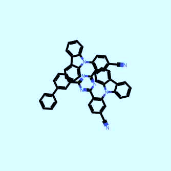 N#Cc1ccc(-n2c3ccccc3c3ccccc32)c(-c2nc(-c3cccc(-c4ccccc4)c3)nc(-c3ccc(C#N)cc3-n3c4ccccc4c4ccccc43)n2)c1